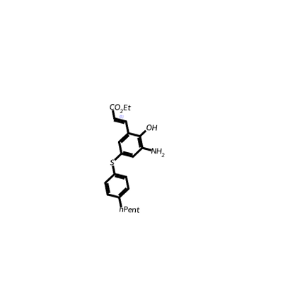 CCCCCc1ccc(Sc2cc(N)c(O)c(/C=C/C(=O)OCC)c2)cc1